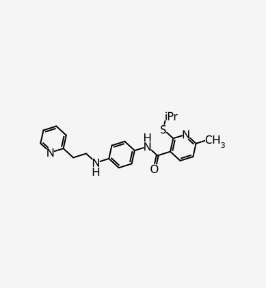 Cc1ccc(C(=O)Nc2ccc(NCCc3ccccn3)cc2)c(SC(C)C)n1